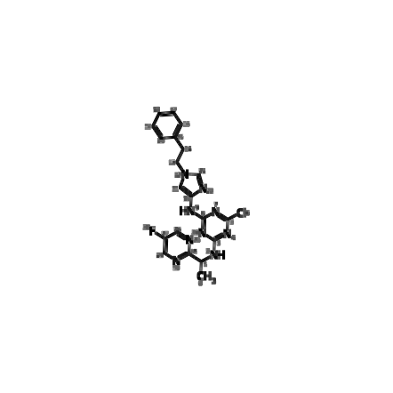 CC(Nc1nc(Cl)nc(Nc2cn(CCc3ccccc3)cn2)n1)c1ncc(F)cn1